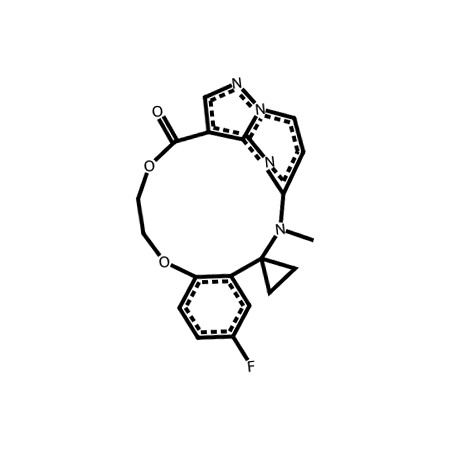 CN1c2ccn3ncc(c3n2)C(=O)OCCOc2ccc(F)cc2C12CC2